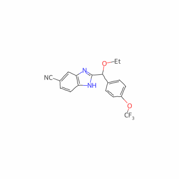 CCOC(c1ccc(OC(F)(F)F)cc1)c1nc2cc(C#N)ccc2[nH]1